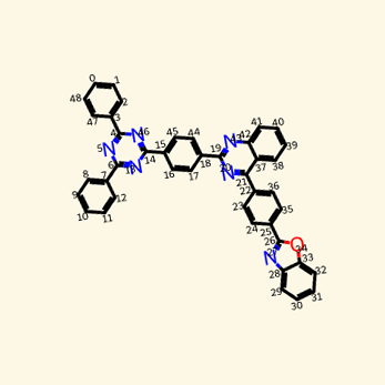 c1ccc(-c2nc(-c3ccccc3)nc(-c3ccc(-c4nc(-c5ccc(-c6nc7ccccc7o6)cc5)c5ccccc5n4)cc3)n2)cc1